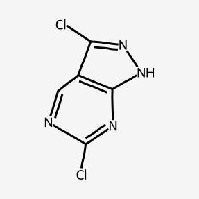 Clc1ncc2c(Cl)n[nH]c2n1